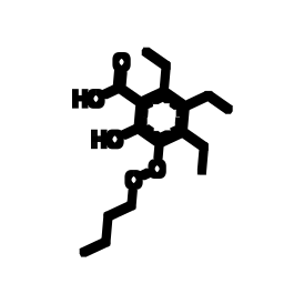 CCCCOOc1c(O)c(C(=O)O)c(CC)c(CC)c1CC